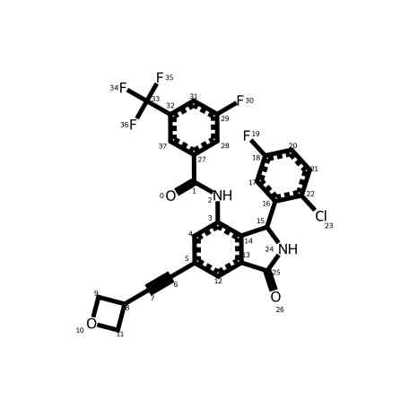 O=C(Nc1cc(C#CC2COC2)cc2c1C(c1cc(F)ccc1Cl)NC2=O)c1cc(F)cc(C(F)(F)F)c1